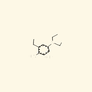 CCc1cc(N(CC)CC)ccc1N.Cl